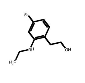 CCNc1cc(Br)ccc1CCO